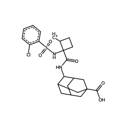 CC1CCC1(NS(=O)(=O)c1ccccc1Cl)C(=O)NC1C2CC3CC1CC(C(=O)O)(C3)C2